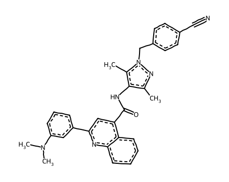 Cc1nn(Cc2ccc(C#N)cc2)c(C)c1NC(=O)c1cc(-c2cccc(N(C)C)c2)nc2ccccc12